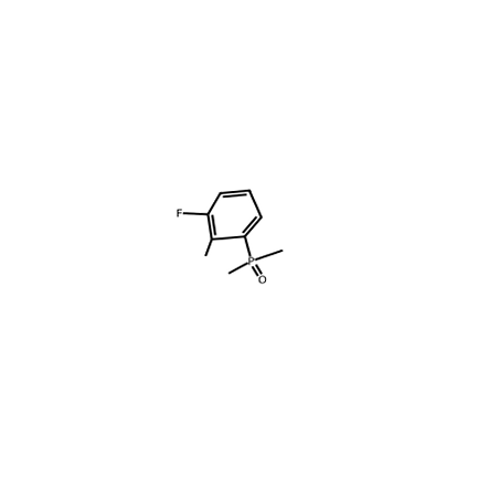 Cc1c(F)cccc1P(C)(C)=O